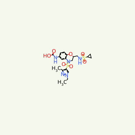 CCn1cc(S(=O)(=O)N2CC(CNS(=O)(=O)C3CC3)Oc3ccc(NC(=O)O)cc32)c(C)n1